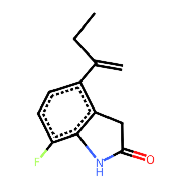 C=C(CC)c1ccc(F)c2c1CC(=O)N2